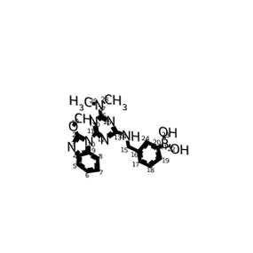 COc1nc2ccccc2n1-c1nc(NCc2cccc(B(O)O)c2)nc(N(C)C)n1